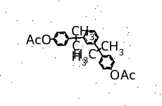 CC(=O)Oc1ccc(C(C)(C)c2cccc(C(C)(C)c3ccc(OC(C)=O)cc3)c2)cc1